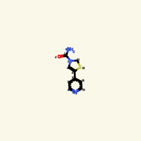 NC(=O)N1C=C(c2ccncc2)SC1